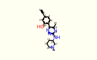 C#Cc1ccc(-c2nnc(N[C@@H]3CCCN(C)C3)nc2C)c(O)c1